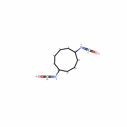 O=C=NC1CCCCC(N=C=O)CCC1